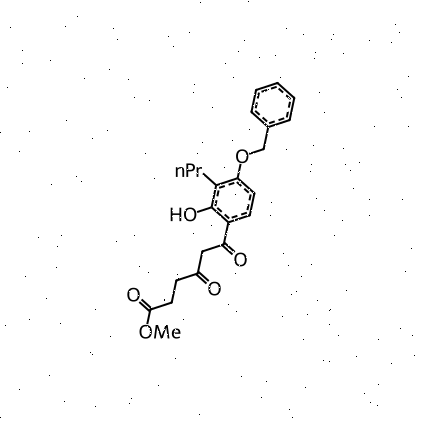 CCCc1c(OCc2ccccc2)ccc(C(=O)CC(=O)CCC(=O)OC)c1O